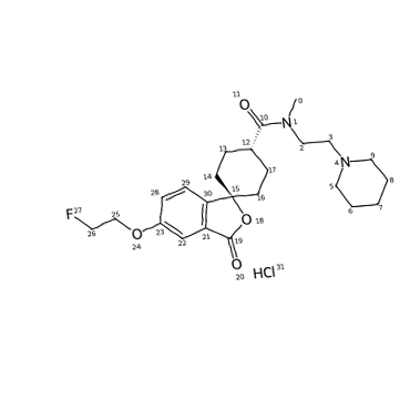 CN(CCN1CCCCC1)C(=O)[C@H]1CC[C@@]2(CC1)OC(=O)c1cc(OCCF)ccc12.Cl